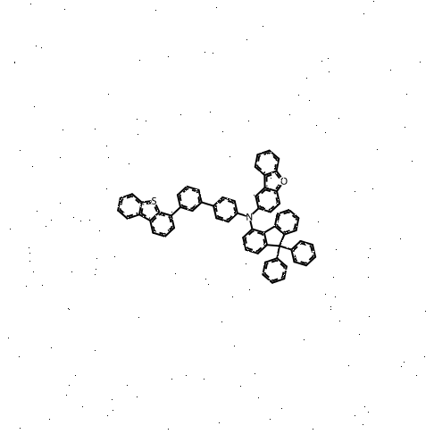 c1ccc(C2(c3ccccc3)c3ccccc3-c3c(N(c4ccc(-c5cccc(-c6cccc7c6sc6ccccc67)c5)cc4)c4ccc5oc6ccccc6c5c4)cccc32)cc1